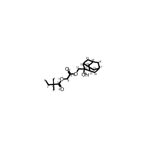 CCC(C)(C)C(=O)OCC(=O)OCC1(O)C2CC3CC(C2)CC1C3